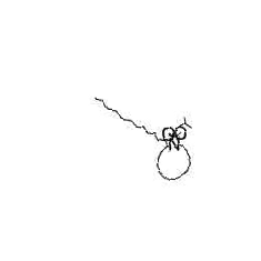 CCCCCCCCCCCCC1CCCCCCCCCCCCCN1C(=O)OCC(C)C